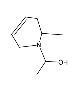 CC(O)N1CC=CCC1C